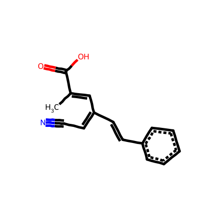 CC(=CC(C=Cc1ccccc1)=CC#N)C(=O)O